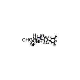 CC/C(=C/C(=N)NC(C)(C=O)CC(C)C)Cc1ccc(-c2cc(F)cc(F)c2)cc1